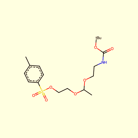 Cc1ccc(S(=O)(=O)OCCOC(C)OCCNC(=O)OC(C)(C)C)cc1